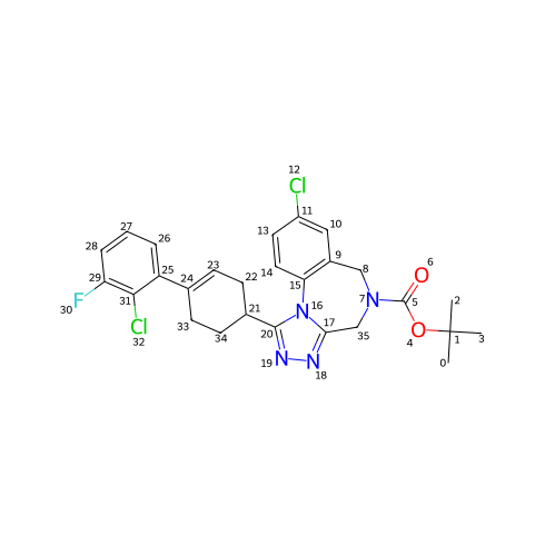 CC(C)(C)OC(=O)N1Cc2cc(Cl)ccc2-n2c(nnc2C2CC=C(c3cccc(F)c3Cl)CC2)C1